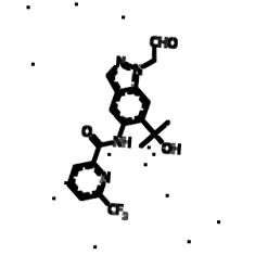 CC(C)(O)c1cc2c(cnn2CC=O)cc1NC(=O)c1cccc(C(F)(F)F)n1